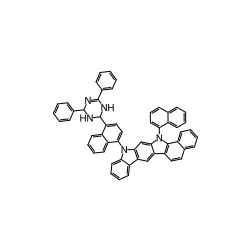 c1ccc(C2=NC(c3ccccc3)NC(c3ccc(-n4c5ccccc5c5cc6c7ccc8ccccc8c7n(-c7cccc8ccccc78)c6cc54)c4ccccc34)N2)cc1